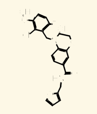 COc1ccc(F)c(CN2c3ccc(C(=O)NCc4ccco4)cc3SCC2O)c1Cl